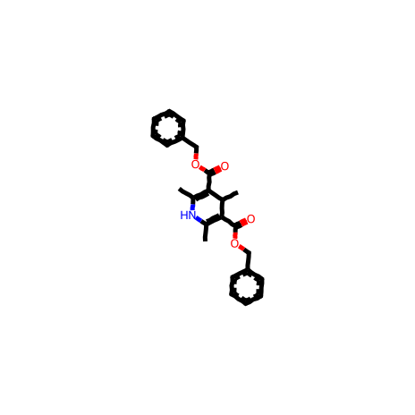 CC1=C(C(=O)OCc2ccccc2)C(C)C(C(=O)OCc2ccccc2)=C(C)N1